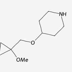 COC1(COC2CCNCC2)CC1